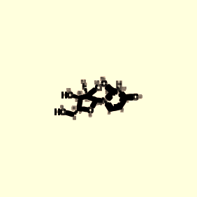 O=c1ccn(C2O[C@H](CO)[C@@H](O)[C@@]2(F)Cl)c(=O)[nH]1